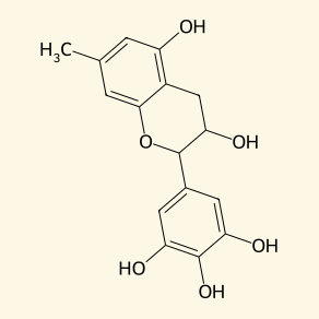 Cc1cc(O)c2c(c1)OC(c1cc(O)c(O)c(O)c1)C(O)C2